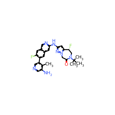 Cc1c(N)cncc1-c1cc2cc(Nc3cc4n(n3)CC(=O)N(C(C)(C)C)C[C@H]4F)ncc2cc1F